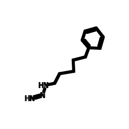 N=NNCCCCCc1ccccc1